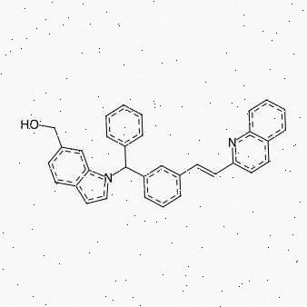 OCc1ccc2ccn(C(c3ccccc3)c3cccc(C=Cc4ccc5ccccc5n4)c3)c2c1